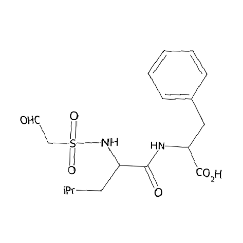 CC(C)CC(NS(=O)(=O)CC=O)C(=O)NC(Cc1ccccc1)C(=O)O